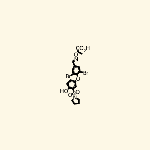 CC(ON=Cc1cc(Br)c(Oc2ccc(O)c(S(=O)(=O)N3CCCC3)c2)c(Br)c1)C(=O)O